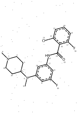 CN1CCC(N(C)c2cc(F)cc(NC(=O)c3c(F)cccc3Cl)c2)CC1